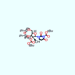 C#C[C@]1(OC(=O)OC(C)(C)C)C(n2ccc(=O)n(C(=O)OC(C)(C)C)c2=O)O[C@@H]2CO[Si](C(C)C)(C(C)C)O[Si](C(C)C)(C(C)C)O[C@H]21